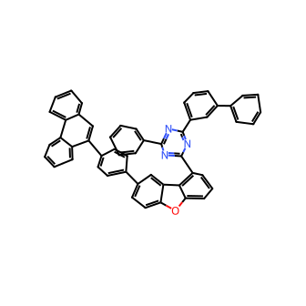 c1ccc(-c2cccc(-c3nc(-c4ccccc4)nc(-c4cccc5oc6ccc(-c7ccc(-c8cc9ccccc9c9ccccc89)cc7)cc6c45)n3)c2)cc1